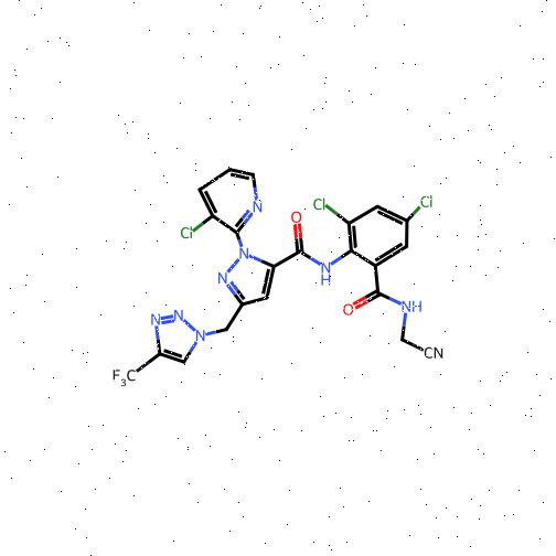 N#CCNC(=O)c1cc(Cl)cc(Cl)c1NC(=O)c1cc(Cn2cc(C(F)(F)F)nn2)nn1-c1ncccc1Cl